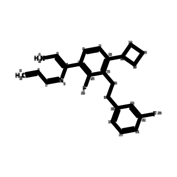 C=C/C=N\C(=C/N)c1ccc(C2CCC2)c(CCc2cccc(F)c2)c1F